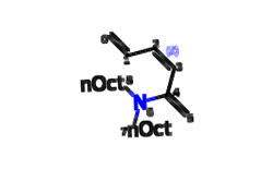 C=C/C=C\C(=C)N(CCCCCCCC)CCCCCCCC